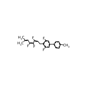 CC(C)=C/C(F)=C(F)\C(F)=C/Cc1c(F)cc(-c2ccc(C)cc2)cc1F